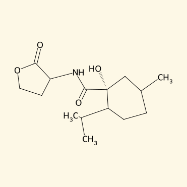 CC1CCC(C(C)C)[C@@](O)(C(=O)NC2CCOC2=O)C1